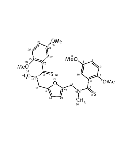 COc1ccc(OC)c(C(=S)N(C)Cc2ccc(CN(C)C(=S)c3cc(OC)ccc3OC)o2)c1